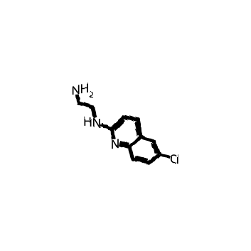 NCCNc1ccc2cc(Cl)ccc2n1